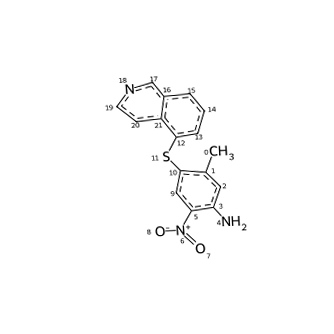 Cc1cc(N)c([N+](=O)[O-])cc1Sc1cccc2cnccc12